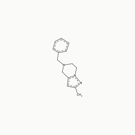 Cc1cc2n(n1)CCN(Cc1ccccc1)C2